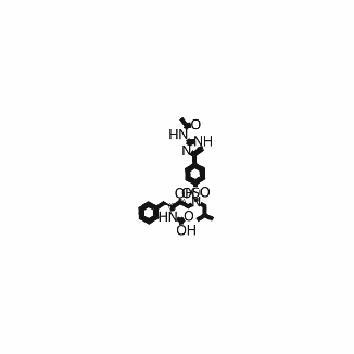 CC(=O)Nc1nc(-c2ccc(S(=O)(=O)N(CC(C)C)C[C@@H](O)[C@H](Cc3ccccc3)NC(=O)O)cc2)c[nH]1